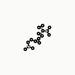 c1ccc(-c2cc(-c3ccccc3)nc(-c3cc(-n4c5ccccc5c5ccccc54)cc(-n4c5ccccc5c5c(-c6ccc7c8cc(-c9cccc(-c%10cccc(-c%11nc(-c%12ccccc%12)nc(-c%12ccccc%12)n%11)c%10)c9)ccc8c8ccccc8c7c6)cccc54)c3)n2)cc1